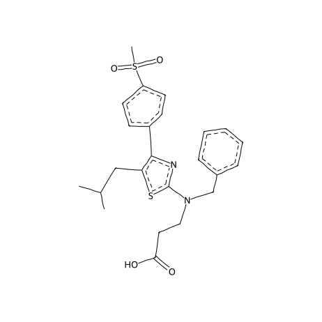 CC(C)Cc1sc(N(CCC(=O)O)Cc2ccccc2)nc1-c1ccc(S(C)(=O)=O)cc1